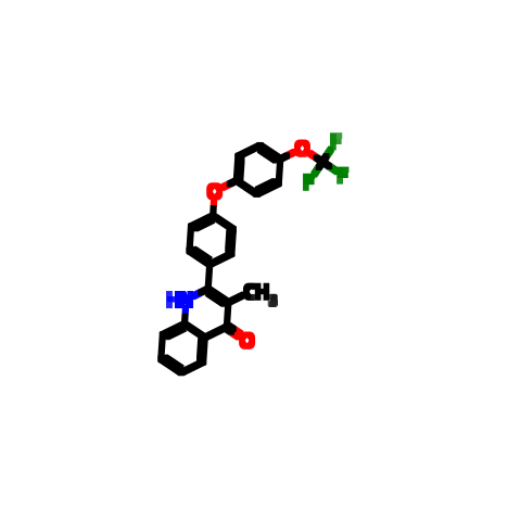 Cc1c(-c2ccc(Oc3ccc(OC(F)(F)F)cc3)cc2)[nH]c2ccccc2c1=O